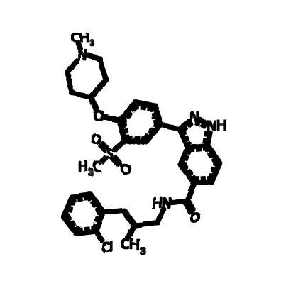 CC(CNC(=O)c1ccc2[nH]nc(-c3ccc(OC4CCN(C)CC4)c(S(C)(=O)=O)c3)c2c1)Cc1ccccc1Cl